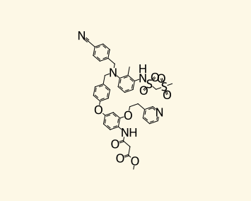 COC(=O)CC(=O)Nc1ccc(Oc2ccc(CN(Cc3ccc(C#N)cc3)c3cccc(NS(=O)(=O)CS(C)(=O)=O)c3C)cc2)cc1OCCc1cccnc1